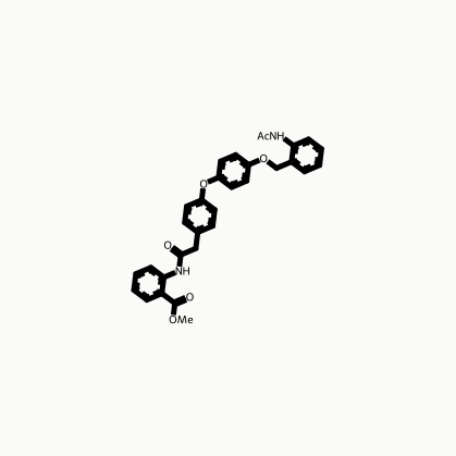 COC(=O)c1ccccc1NC(=O)Cc1ccc(Oc2ccc(OCc3ccccc3NC(C)=O)cc2)cc1